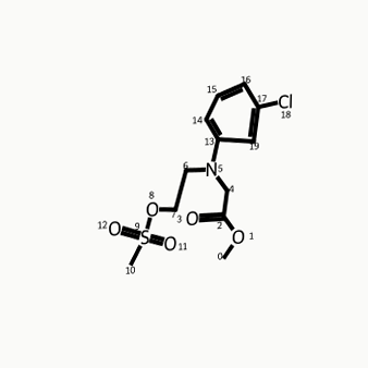 COC(=O)CN(CCOS(C)(=O)=O)c1cccc(Cl)c1